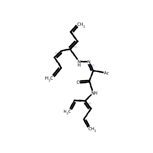 C=C/C=C\C(=C/C=C)N/N=C(/C(C)=O)C(=O)N/C(C=C)=C/C=C